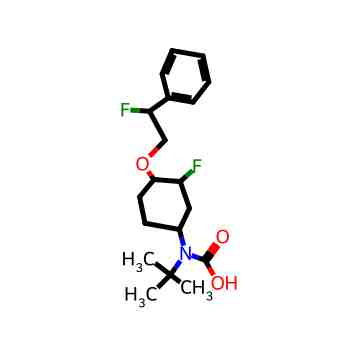 CC(C)(C)N(C(=O)O)C1CCC(OCC(F)c2ccccc2)C(F)C1